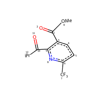 COC(=O)c1ccc(C(F)(F)F)nc1C(=O)C(C)C